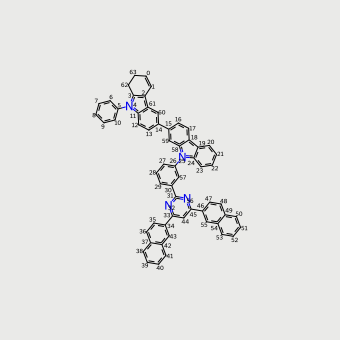 C1=Cc2c(n(-c3ccccc3)c3ccc(-c4ccc5c6ccccc6n(-c6cccc(-c7nc(-c8ccc9ccccc9c8)cc(-c8ccc9ccccc9c8)n7)c6)c5c4)cc23)CC1